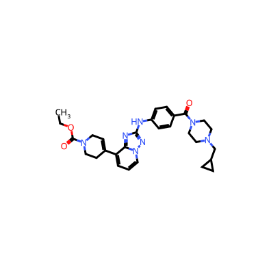 CCOC(=O)N1CC=C(c2cccn3nc(Nc4ccc(C(=O)N5CCN(CC6CC6)CC5)cc4)nc23)CC1